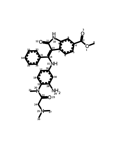 COC(=O)c1ccc2c(c1)NC(=O)C2=C(Nc1ccc(N(C)C(=O)CN(C)C)c(N)c1)c1ccccc1